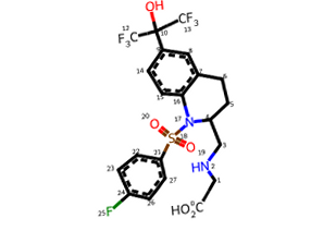 O=C(O)CNCC1CCc2cc(C(O)(C(F)(F)F)C(F)(F)F)ccc2N1S(=O)(=O)c1ccc(F)cc1